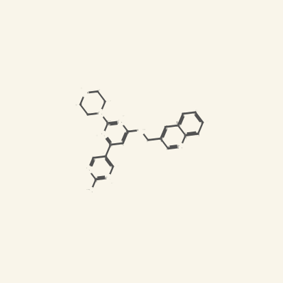 Nc1ncc(-c2cc(OCc3cnc4ccccc4c3)nc(N3CCOCC3)n2)cn1